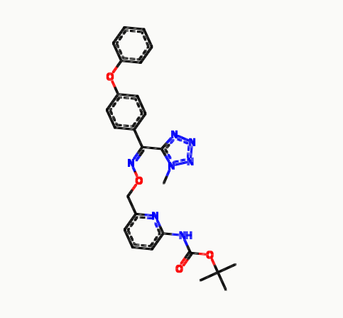 Cn1nnnc1/C(=N\OCc1cccc(NC(=O)OC(C)(C)C)n1)c1ccc(Oc2ccccc2)cc1